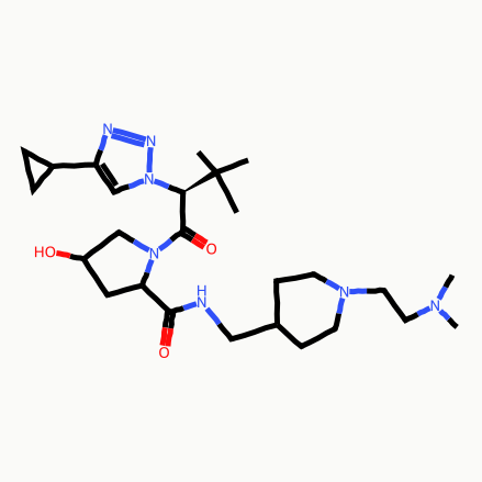 CN(C)CCN1CCC(CNC(=O)C2CC(O)CN2C(=O)[C@@H](n2cc(C3CC3)nn2)C(C)(C)C)CC1